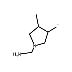 CC1CN(CN)CC1F